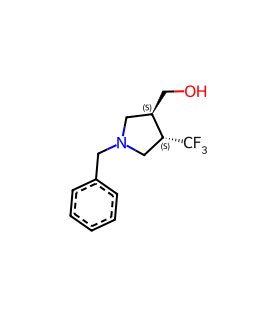 OC[C@@H]1CN(Cc2ccccc2)C[C@H]1C(F)(F)F